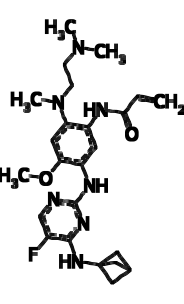 C=CC(=O)Nc1cc(Nc2ncc(F)c(NC34CC(C3)C4)n2)c(OC)cc1N(C)CCN(C)C